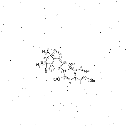 CC(C)(C)c1cc2cc(C(C)(C)C)n3c4cc5c(cc4nc3c2cn1)C(C)(C)CC5(C)C